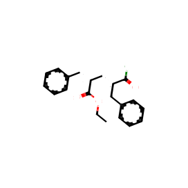 CCOC(=O)[C@H](Cc1ccccc1)C[C@@H](Cc1ccccc1)C(=O)Cl